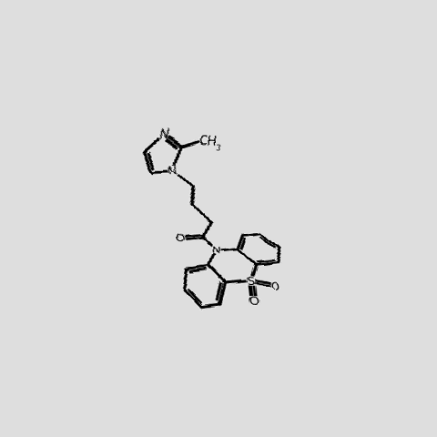 Cc1nccn1CCCC(=O)N1c2ccccc2S(=O)(=O)c2ccccc21